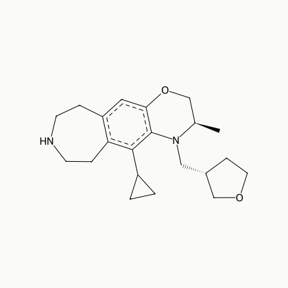 C[C@@H]1COc2cc3c(c(C4CC4)c2N1C[C@@H]1CCOC1)CCNCC3